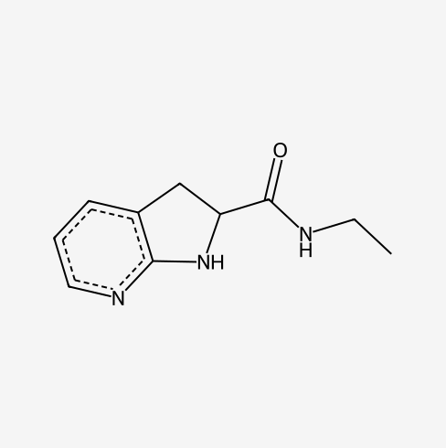 CCNC(=O)C1Cc2cccnc2N1